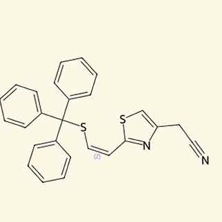 N#CCc1csc(/C=C\SC(c2ccccc2)(c2ccccc2)c2ccccc2)n1